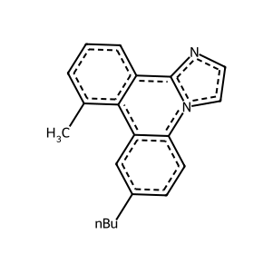 CCCCc1ccc2c(c1)c1c(C)cccc1c1nccn21